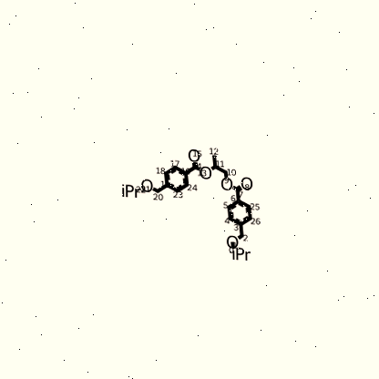 CC(C)OCc1ccc(C(=O)OCC(C)OC(=O)c2ccc(COC(C)C)cc2)cc1